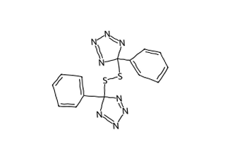 c1ccc(C2(SSC3(c4ccccc4)N=NN=N3)N=NN=N2)cc1